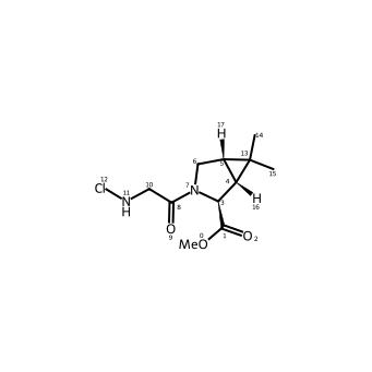 COC(=O)[C@@H]1[C@@H]2[C@H](CN1C(=O)CNCl)C2(C)C